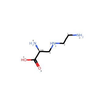 NCCNC[C@H](N)C(=O)O